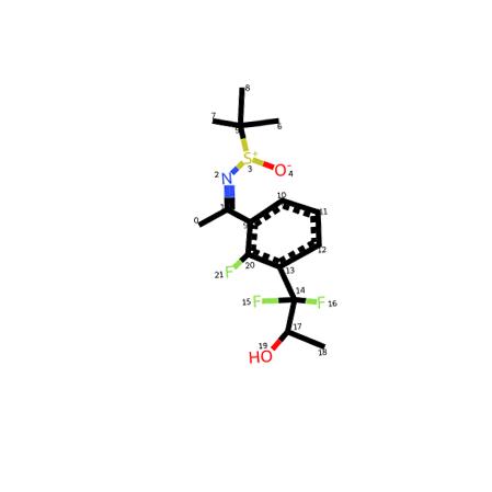 C/C(=N/[S+]([O-])C(C)(C)C)c1cccc(C(F)(F)C(C)O)c1F